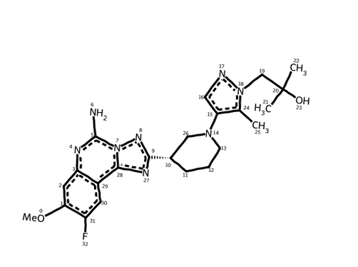 COc1cc2nc(N)n3nc([C@H]4CCCN(c5cnn(CC(C)(C)O)c5C)C4)nc3c2cc1F